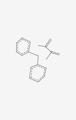 C=C(C)C(=C)C.c1ccc(Cc2ccccc2)cc1